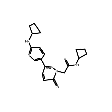 O=C(Cn1nc(-c2ccc(NC3CCC3)nc2)ccc1=O)NC1CCC1